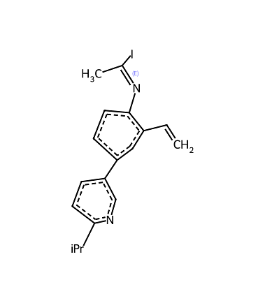 C=Cc1cc(-c2ccc(C(C)C)nc2)ccc1/N=C(\C)I